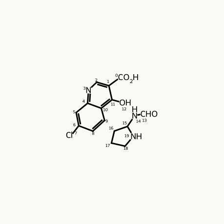 O=C(O)c1cnc2cc(Cl)ccc2c1O.O=CNC1CCCN1